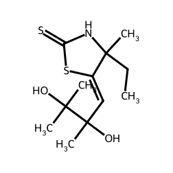 CCC1(C)NC(=S)SC1=CC(C)(O)C(C)(C)O